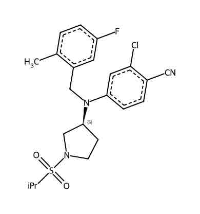 Cc1ccc(F)cc1CN(c1ccc(C#N)c(Cl)c1)[C@H]1CCN(S(=O)(=O)C(C)C)C1